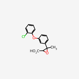 CC1(c2cccc(Oc3ccccc3Cl)c2)OC1C(=O)O